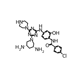 N[C@@H]1C[C@H](N)CN(c2nc(Nc3ccc(NC(=O)c4ccc(Cl)cc4)c(O)c3)nc(N3CCNCC3)n2)C1